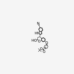 CC(C)(C)OC(=O)N1CC[C@H](Oc2ccc(C(CC(=O)O)c3cc4ccc(C#N)cc4[nH]3)cc2)C1